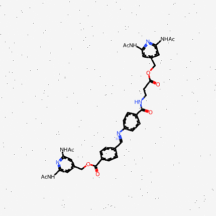 CC(=O)Nc1cc(COC(=O)CCNC(=O)c2ccc(/N=C/c3ccc(C(=O)OCc4cc(NC(C)=O)nc(NC(C)=O)c4)cc3)cc2)cc(NC(C)=O)n1